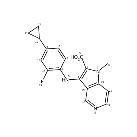 Cn1c(C(=O)O)c(Nc2ccc(C3CC3)cc2F)c2cnccc21